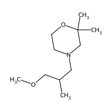 COCC(C)CN1CCOC(C)(C)C1